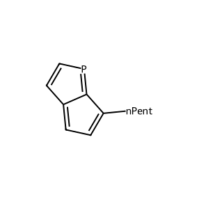 CCCCCC1=CC=C2C=CP=C21